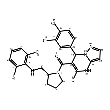 CC1=C(C(=O)N2CCC[C@H]2CNc2c(C)cccc2C)C(c2ccc(Cl)c(Cl)c2)n2nccc2N1